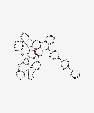 c1ccc(-c2ccc(-c3ccc(N(c4cccc(-c5ccc6c(c5)C5(c7ccccc7Oc7ccccc75)c5ccccc5-6)c4)c4ccccc4-c4ccc5c(c4)-c4ccccc4C54c5ccccc5Oc5ccccc54)cc3)cc2)cc1